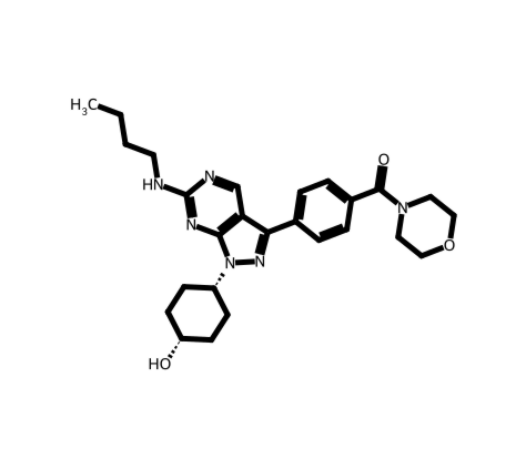 CCCCNc1ncc2c(-c3ccc(C(=O)N4CCOCC4)cc3)nn([C@H]3CC[C@@H](O)CC3)c2n1